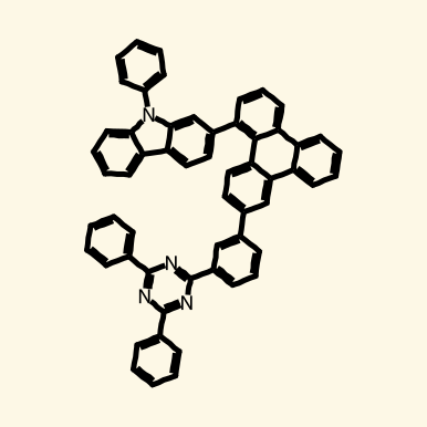 c1ccc(-c2nc(-c3ccccc3)nc(-c3cccc(-c4ccc5c(c4)c4ccccc4c4cccc(-c6ccc7c8ccccc8n(-c8ccccc8)c7c6)c45)c3)n2)cc1